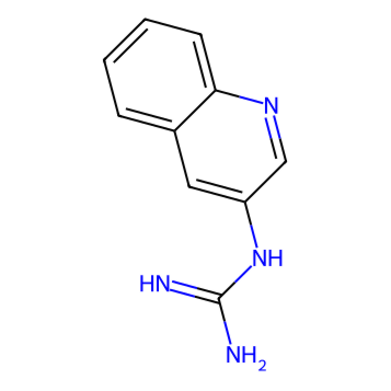 N=C(N)Nc1cnc2ccccc2c1